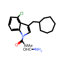 CNC(=O)n1cc(CC2CCCCCC2)c2c(Cl)cccc21.NC=O